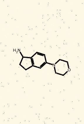 NC1CCc2cc(N3CCOCC3)ccc21